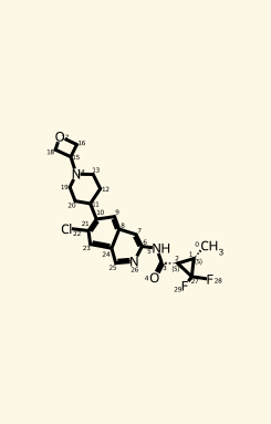 C[C@H]1[C@@H](C(=O)Nc2cc3cc(C4CCN(C5COC5)CC4)c(Cl)cc3cn2)C1(F)F